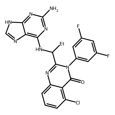 CCC(Nc1nc(N)nc2[nH]cnc12)c1nc2cccc(Cl)c2c(=O)n1-c1cc(F)cc(F)c1